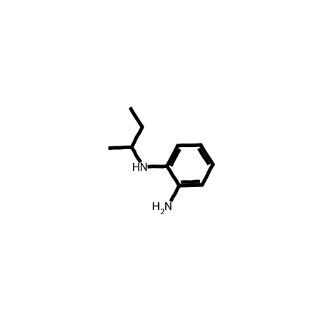 CCC(C)Nc1ccccc1N